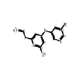 C=CCc1cc(Oc2cncc(Br)c2)cc(C#N)n1